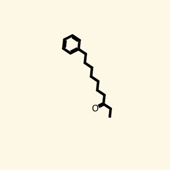 CCC(=O)CCCCCCCc1ccccc1